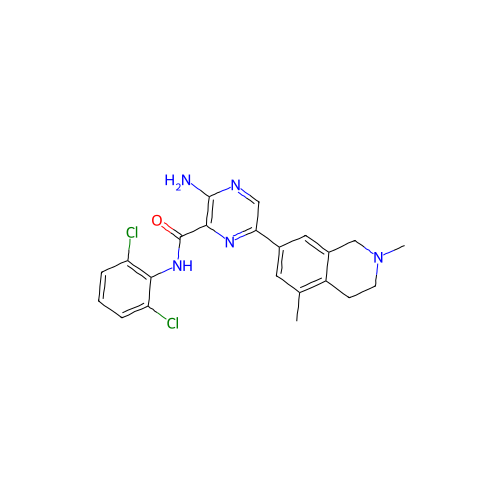 Cc1cc(-c2cnc(N)c(C(=O)Nc3c(Cl)cccc3Cl)n2)cc2c1CCN(C)C2